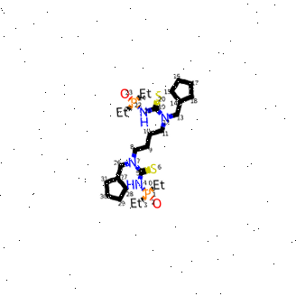 CCP(=O)(CC)NC(=S)N(CCCCN(CC1CCCC1)C(=S)NP(=O)(CC)CC)CC1CCCC1